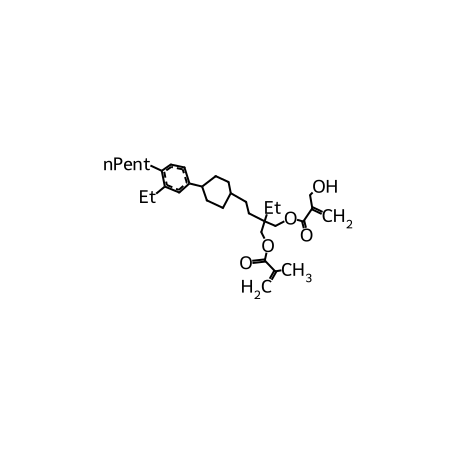 C=C(C)C(=O)OCC(CC)(CCC1CCC(c2ccc(CCCCC)c(CC)c2)CC1)COC(=O)C(=C)CO